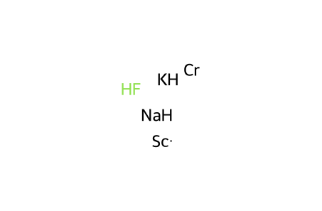 F.[Cr].[KH].[NaH].[Sc]